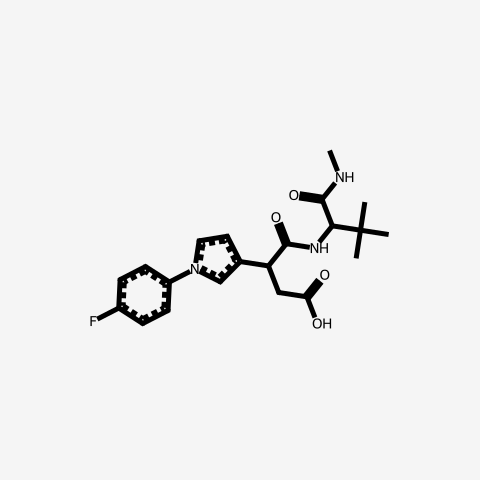 CNC(=O)C(NC(=O)C(CC(=O)O)c1ccn(-c2ccc(F)cc2)c1)C(C)(C)C